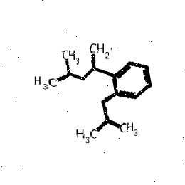 [CH2]C(CC(C)C)c1ccccc1CC(C)C